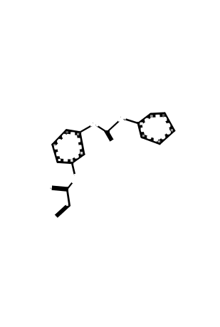 C=CC(=O)Oc1cccc(NC(=O)Nc2ccccc2)c1